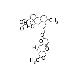 CC1CCC(O[C@H]2CCC(OCCCC3C(C)CCC4C3CC(O)C3(C)C(C5=CC(=O)OC5)CCC43)OC2C)CO1